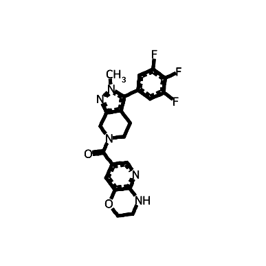 Cn1nc2c(c1-c1cc(F)c(F)c(F)c1)CCN(C(=O)c1cnc3c(c1)OCCN3)C2